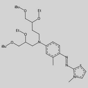 CCOC(CCN(CC(COC(C)CC)OCC)c1ccc(/N=N/c2scc[n+]2C)c(C)c1)COC(C)CC